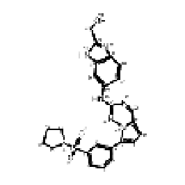 O=S(=O)(c1cccc(-c2ccc3cnc(Nc4ccc5nc(CO)[nH]c5c4)nn23)c1)N1CCCC1